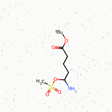 CC(C)(C)OC(=O)CCCC(N)OS(C)(=O)=O